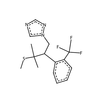 CSC(C)(C)C(Cn1cncn1)c1ccccc1C(F)(F)F